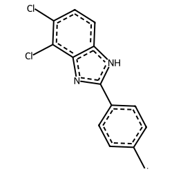 [CH2]c1ccc(-c2nc3c(Cl)c(Cl)ccc3[nH]2)cc1